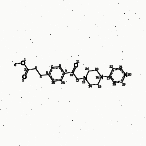 COC(=O)CCc1ccc(C(=O)CN2CCN(c3ccncc3)CC2)cc1